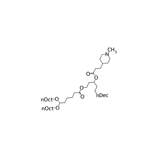 CCCCCCCCCCCCC(CCOC(=O)CCCCC(OCCCCCCCC)OCCCCCCCC)OC(=O)CCC1CCN(C)CC1